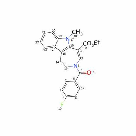 CCOC(=O)C1=CN(C(=O)c2ccc(F)cc2)CCc2c1n(C)c1ccccc21